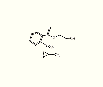 CC1CO1.O=C(O)c1ccccc1C(=O)OCCO